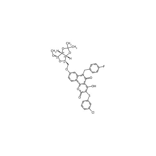 CO[C@@H]1O[C@H](COc2ccc3c4oc(=O)c(Sc5cccc(Cl)c5)c(O)c4c(=O)n(Cc4ccc(F)cc4)c3c2)[C@H]2OC(C)(C)O[C@@H]12